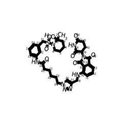 CC1(C)CCCCN1S(=O)(=O)Cc1cccc(NC(=O)CCCCCn2cc(CNc3cccc4c3C(=O)N(C3CCC(=O)NC3=O)C4=O)nn2)c1